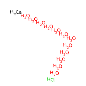 Cl.O.O.O.O.O.O.O.O.O.O.O.O.[CaH2]